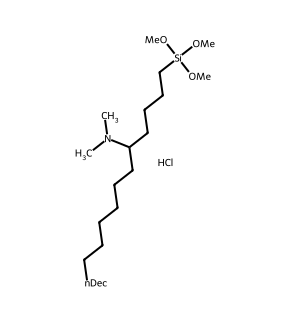 CCCCCCCCCCCCCCCCC(CCCC[Si](OC)(OC)OC)N(C)C.Cl